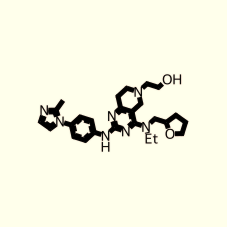 CCN(CC1CCCO1)c1nc(Nc2ccc(-n3ccnc3C)cc2)nc2c1CN(CCO)CC2